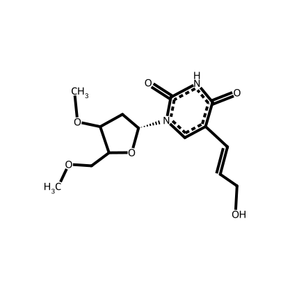 COCC1O[C@@H](n2cc(C=CCO)c(=O)[nH]c2=O)CC1OC